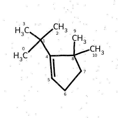 CC(C)(C)C1=CCCC1(C)C